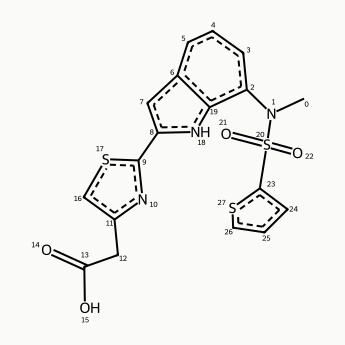 CN(c1cccc2cc(-c3nc(CC(=O)O)cs3)[nH]c12)S(=O)(=O)c1cccs1